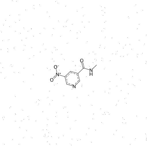 CNC(=O)c1cncc([N+](=O)[O-])c1